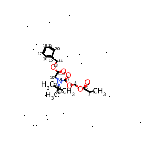 CCC(=O)OCOC(=O)N(CC(=O)OCc1ccccc1)C(C)(C)C